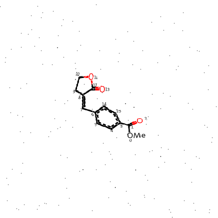 COC(=O)c1ccc(C=C2CCOC2=O)cc1